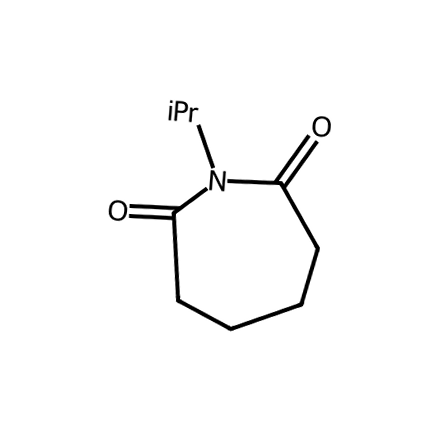 CC(C)N1C(=O)CCCCC1=O